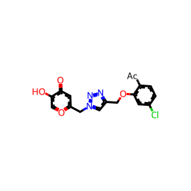 CC(=O)c1ccc(Cl)cc1OCc1cn(Cc2cc(=O)c(O)co2)nn1